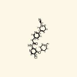 CN1CCC(Oc2cc(NC(=O)Cc3ccc(C4=CCCN(C#N)C4)nc3)ncc2Cl)CC1